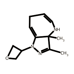 CC1=NN(C2COC2)C2=CCC=CNC21C